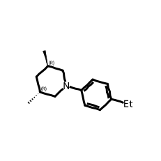 CCc1ccc(N2C[C@H](C)C[C@@H](C)C2)cc1